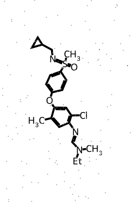 CCN(C)C=Nc1cc(C)c(Oc2ccc(S(C)(=O)=NCC3CC3)cc2)cc1Cl